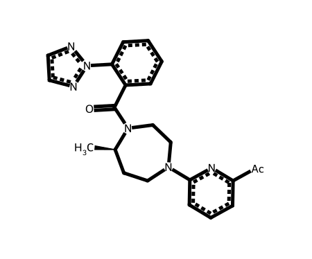 CC(=O)c1cccc(N2CC[C@@H](C)N(C(=O)c3ccccc3-n3nccn3)CC2)n1